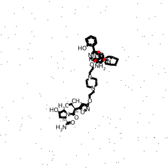 CC(C)[C@H](C(=O)N1C[C@H](O)C[C@H]1C(N)=O)c1cc(OCCN2CCN(CCOc3cc(N4C5CCC4CN(c4cc(-c6ccccc6O)nnc4N)C5)ccn3)CC2)no1